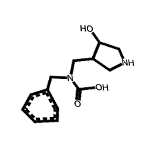 O=C(O)N(Cc1ccccc1)CC1CNCC1O